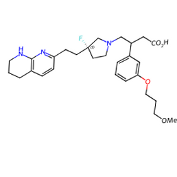 COCCCOc1cccc(C(CC(=O)O)CN2CC[C@@](F)(CCc3ccc4c(n3)NCCC4)C2)c1